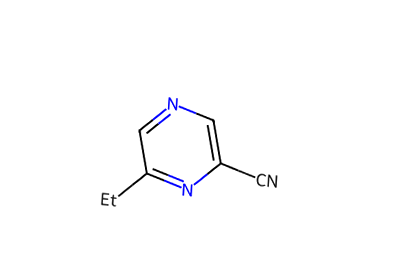 CCc1cncc(C#N)n1